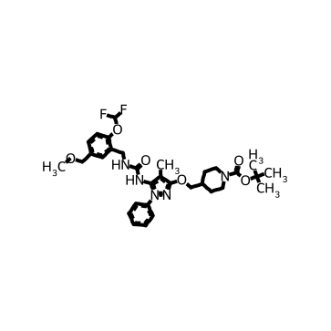 COCc1ccc(OC(F)F)c(CNC(=O)Nc2c(C)c(OCC3CCN(C(=O)OC(C)(C)C)CC3)nn2-c2ccccc2)c1